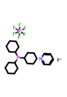 C1CCC(P(C2CCCCC2)C2CCCCC2)CC1.F[P-](F)(F)(F)(F)F.[Ir+].c1ccncc1